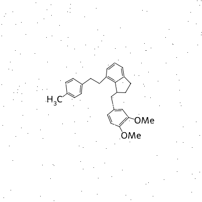 COc1ccc(CC2CCc3cccc(CCc4ccc(C)cc4)c32)cc1OC